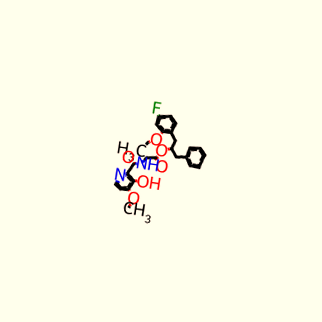 CCOc1cc(F)ccc1CC(Cc1ccccc1)OC(=O)CNC(=O)c1nccc(OC)c1O